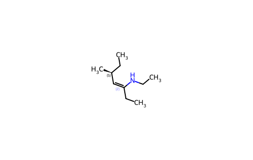 CCN/C(=C\[C@@H](C)CC)CC